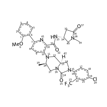 COc1ccccc1-c1ccc(N2C[C@H]3CN(c4ccc(Cl)cc4C(F)(F)F)C(=O)N3C[C@H]2C)c(C(=O)N[C@@H]2CC(=O)N(C)C2)n1